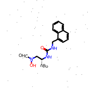 CCCC[C@H](CN(O)C=O)NC(=O)NCc1cccc2ccccc12